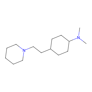 CN(C)C1CCC(CCN2CCCCC2)CC1